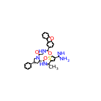 C[C@@H](NC(=O)[C@@H]1C[C@@H](c2ccccc2)CN1C(=O)CNC(=O)c1ccc2oc3ccccc3c2c1)c1cc(C(=N)N)cs1